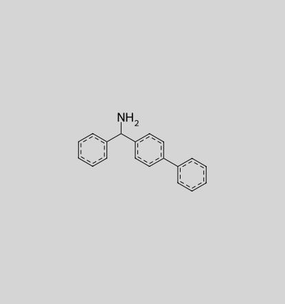 NC(c1ccccc1)c1ccc(-c2ccccc2)cc1